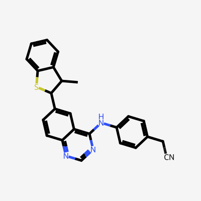 CC1c2ccccc2SC1c1ccc2ncnc(Nc3ccc(CC#N)cc3)c2c1